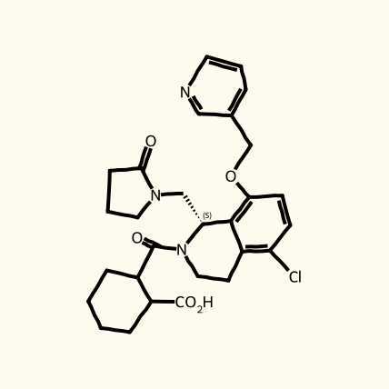 O=C(O)C1CCCCC1C(=O)N1CCc2c(Cl)ccc(OCc3cccnc3)c2[C@H]1CN1CCCC1=O